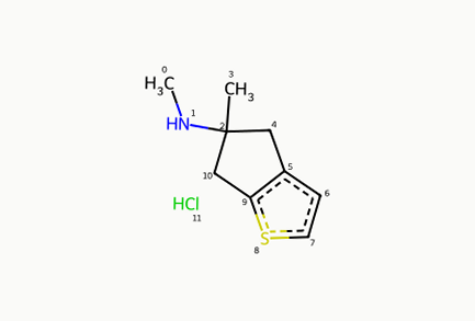 CNC1(C)Cc2ccsc2C1.Cl